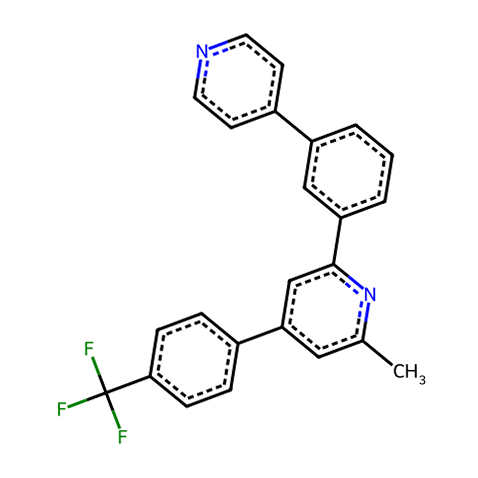 Cc1cc(-c2ccc(C(F)(F)F)cc2)cc(-c2cccc(-c3ccncc3)c2)n1